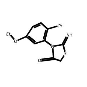 CCOc1ccc(C(C)C)c(N2C(=N)SCC2=O)c1